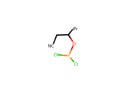 CC(C)C(CC#N)OP(Cl)Cl